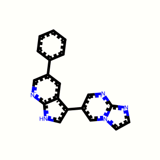 c1ccc(-c2cnc3[nH]cc(-c4cnc5nccn5c4)c3c2)cc1